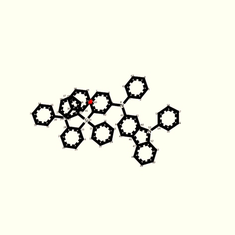 c1ccc(N(c2cccc([Si](c3ccccc3)(c3ccccc3)c3ccccc3N(c3ccccc3)c3ccccc3)c2)c2ccc3c4ccccc4n(-c4ccccc4)c3c2)cc1